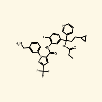 CCC(=O)NC(CCC1CC1)(c1cccnc1)c1ccc(F)c(NC(=O)c2cc(C(F)(F)F)nn2-c2cccc(CN)c2)c1